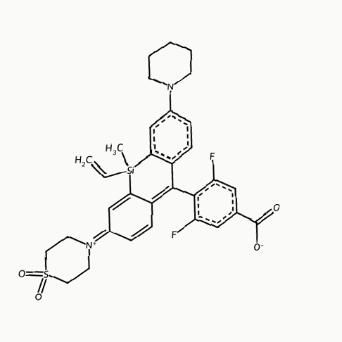 C=C[Si]1(C)C2=CC(=[N+]3CCS(=O)(=O)CC3)C=CC2=C(c2c(F)cc(C(=O)[O-])cc2F)c2ccc(N3CCCCC3)cc21